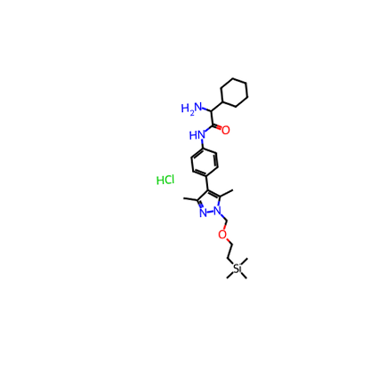 Cc1nn(COCC[Si](C)(C)C)c(C)c1-c1ccc(NC(=O)C(N)C2CCCCC2)cc1.Cl